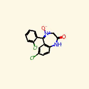 O=C1C[N+]([O-])=C(c2ccccc2Cl)c2cc(Cl)ccc2N1